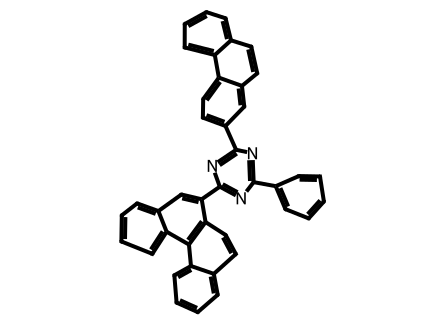 c1ccc(-c2nc(-c3ccc4c(ccc5ccccc54)c3)nc(-c3cc4ccccc4c4c3ccc3ccccc34)n2)cc1